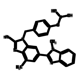 CCCc1nc2c(C)cc(-c3nc4ccccc4n3C)cc2n1Cc1ccc(OB(O)O)cc1